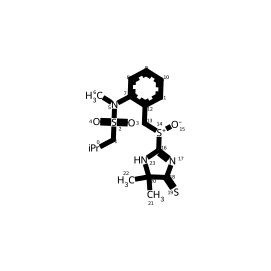 CC(C)CS(=O)(=O)N(C)c1ccccc1C[S+]([O-])C1=NC(=S)C(C)(C)N1